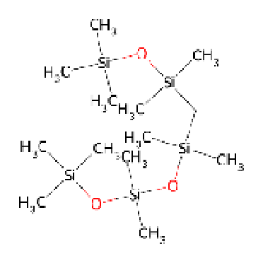 C[Si](C)(C)O[Si](C)(C)C[Si](C)(C)O[Si](C)(C)O[Si](C)(C)C